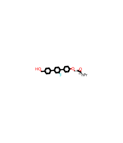 CCC[C@@H]1O[C@H]1COc1ccc(-c2ccc(-c3ccc(CO)cc3)cc2F)cc1